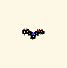 CC1(C)c2ccccc2-c2cc3c4cccc5c6cc7c(cc6n(c3cc21)c45)oc1ccccc17